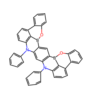 c1ccc(N2c3cc4c(cc3B3Oc5ccccc5-c5cccc2c53)B2Oc3ccccc3-c3cccc(c32)N4c2ccccc2)cc1